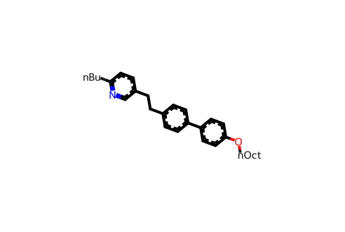 CCCCCCCCOc1ccc(-c2ccc(CCc3ccc(CCCC)nc3)cc2)cc1